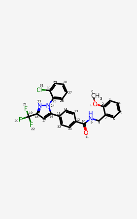 COc1ccccc1CNC(=O)c1ccc(-c2cc(C(F)(F)F)nn2-c2ccccc2Cl)cc1